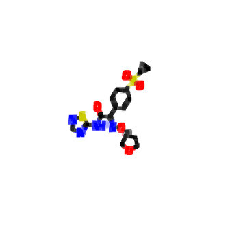 O=C(Nc1ncns1)/C(=N/O[C@@H]1CCOC1)c1ccc(S(=O)(=O)C2CC2)cc1